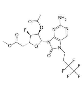 COC(=O)C[C@H]1O[C@@H](n2c(=O)n(CCC(F)(F)C(F)(F)F)c3cnc(N)nc32)[C@H](OC(C)=O)[C@@H]1F